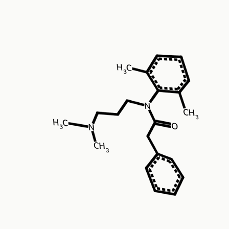 Cc1cccc(C)c1N(CCCN(C)C)C(=O)Cc1ccccc1